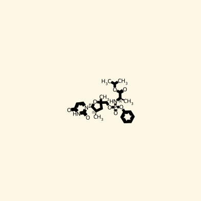 CC(C)OC(=O)[C@@H](C)NP(=O)(OCC1(C)C[C@H](C)[C@H](n2ccc(=O)[nH]c2=O)O1)Oc1ccccc1